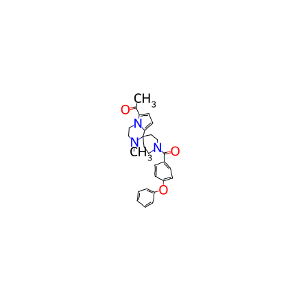 CC(=O)c1ccc2n1CCN(C)C21CCN(C(=O)c2ccc(Oc3ccccc3)cc2)CC1